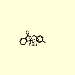 CCCCC1(O)C2=C(C=CCC2)C(=O)N1Cc1ccc(C)cc1